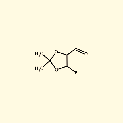 CC1(C)OC(Br)C(C=O)O1